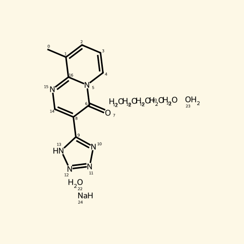 Cc1cccn2c(=O)c(-c3nnn[nH]3)cnc12.O.O.O.O.O.O.O.[NaH]